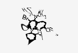 CN(C)c1c(Br)c(=O)n(-c2ccccc2Cl)c2nc(C(F)(F)F)ccc12